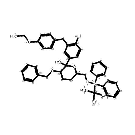 CCOc1ccc(Cc2cc(C3(O)OC(CO[Si](c4ccccc4)(c4ccccc4)C(C)(C)C)CCC3OCc3ccccc3)ccc2Cl)cc1